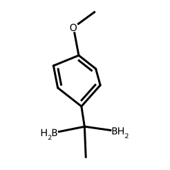 BC(B)(C)c1ccc(OC)cc1